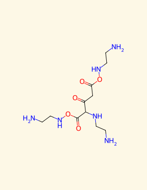 NCCNOC(=O)CC(=O)C(NCCN)C(=O)ONCCN